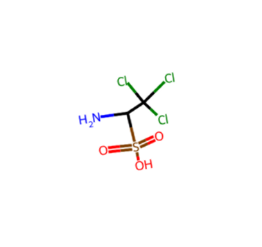 NC(C(Cl)(Cl)Cl)S(=O)(=O)O